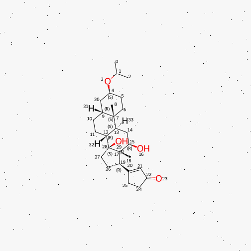 CC(C)O[C@H]1CC[C@@]2(C)[C@H](CC[C@@H]3[C@@H]2C[C@@H](O)[C@]2(C)[C@@H](C4=CC(=O)CC4)CC[C@]32O)C1